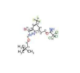 C[Si](C)(C)CCOCn1nc2c(CCOC(=N)C(Cl)(Cl)Cl)cc(C(F)(F)F)cc2c1Br